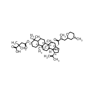 C=C(C)[C@@H]1CC[C@]2(CC(=O)N(C)CC3CN(C)CCO3)CC[C@]3(C)[C@H](CCC4[C@@]5(C)CC[C@H](OC(=O)CC(C)(C)C(=O)O)C(C)(C)C5CC[C@]43C)[C@@H]12